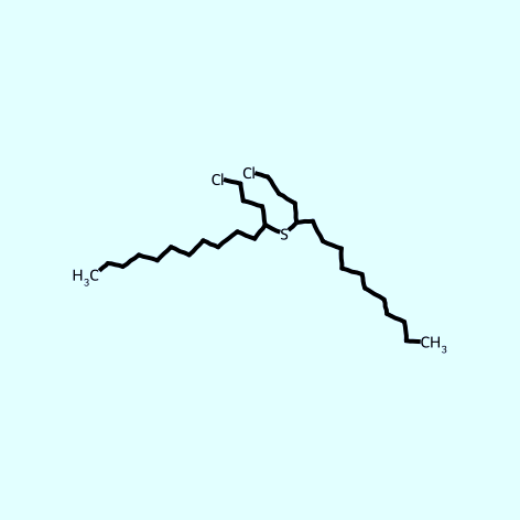 CCCCCCCCCCCC(CCCCl)SC(CCCCl)CCCCCCCCCCC